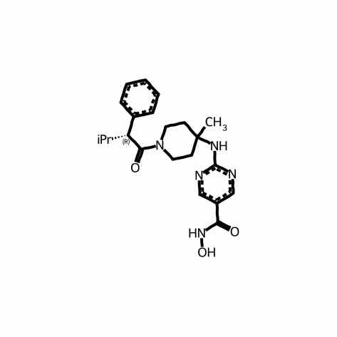 CC(C)[C@@H](C(=O)N1CCC(C)(Nc2ncc(C(=O)NO)cn2)CC1)c1ccccc1